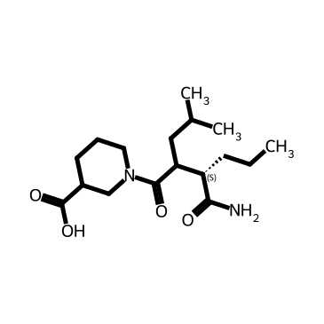 CCC[C@H](C(N)=O)C(CC(C)C)C(=O)N1CCCC(C(=O)O)C1